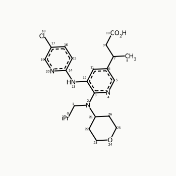 CC(C)CN(c1ncc(C(C)CC(=O)O)cc1Nc1ccc(Cl)cn1)C1CCOCC1